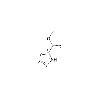 COC(C)c1ccc[nH]1